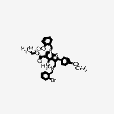 CCOC(=O)c1cn(Cc2ccccc2OC)c2sc(-c3ccc(OC)cc3)c(CN(C)Cc3ccccc3Br)c2c1=O